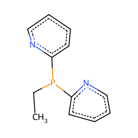 CCP(c1ccccn1)c1ccccn1